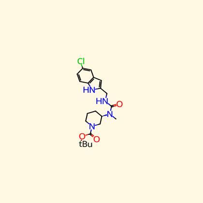 CN(C(=O)NCc1cc2cc(Cl)ccc2[nH]1)[C@@H]1CCCN(C(=O)OC(C)(C)C)C1